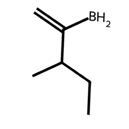 BC(=C)C(C)CC